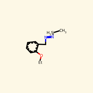 CCOc1ccccc1CN=N[SiH2]C